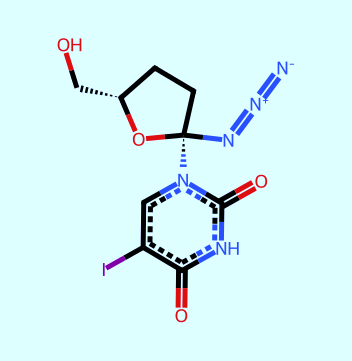 [N-]=[N+]=N[C@]1(n2cc(I)c(=O)[nH]c2=O)CC[C@@H](CO)O1